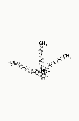 CCCCCCCCCCCCCCN(CCCCCCCCCCCCCC)C(c1ccc(CCCCCCCCCCCC)cc1)c1ccccc1O